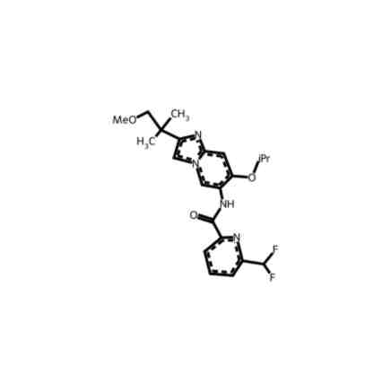 COCC(C)(C)c1cn2cc(NC(=O)c3cccc(C(F)F)n3)c(OC(C)C)cc2n1